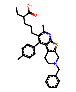 CCC(CCCc1c(C)nc2sc3c(c2c1-c1ccc(C)cc1)CCN(Cc1ccccc1)C3)C(=O)O